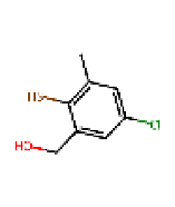 Cc1cc(Cl)cc(CO)c1S